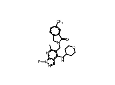 CCn1ncc2c(NC3CCOCC3)c(CN3Cc4ccc(C(F)(F)F)cc4C3=O)c(C)nc21